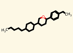 CCCCCC1CCC(C2CCC(c3ccc(CC)cc3)OC2)CC1